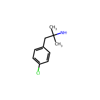 CC(C)([NH])Cc1ccc(Cl)cc1